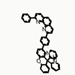 C1=CCC2Oc3ccc(-c4ccc(-c5ccc6ccc7ccc(-c8ccccc8)nc7c6n5)cc4)cc3C(c3ccccn3)(C3C=CC=CN3)C2=C1